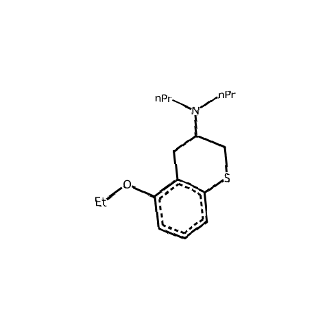 CCCN(CCC)C1CSc2cccc(OCC)c2C1